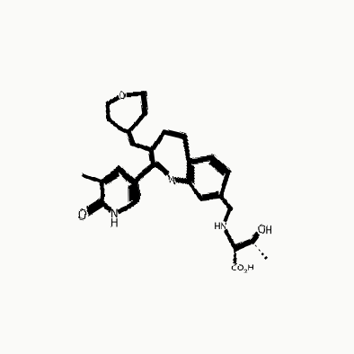 Cc1cc(C2=Nc3cc(CN[C@H](C(=O)O)[C@@H](C)O)ccc3CCC2CC2CCOCC2)c[nH]c1=O